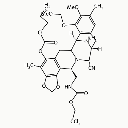 C=CCOC(=O)Oc1c(C)c2c(c3c1CC1[C@H]4c5c(cc(C)c(OC)c5OCOC)C[C@H]([C@H](C#N)N1[C@H]3CNC(=O)OCC(Cl)(Cl)Cl)N4C)OCO2